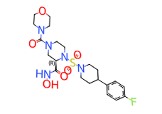 O=C(NO)[C@H]1CN(C(=O)N2CCOCC2)CCN1S(=O)(=O)N1CCC(c2ccc(F)cc2)CC1